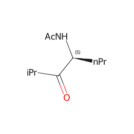 CCC[C@H](NC(C)=O)C(=O)C(C)C